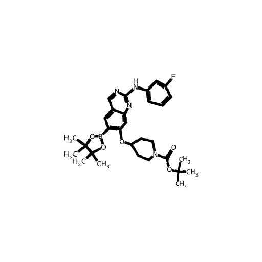 CC(C)(C)OC(=O)N1CCC(Oc2cc3nc(Nc4cccc(F)c4)ncc3cc2B2OC(C)(C)C(C)(C)O2)CC1